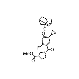 COC(=O)C1CCN(C(=O)c2cc(C3CC3)c(OCC34CC5CC(CC(C5)C3)C4)cc2F)C1